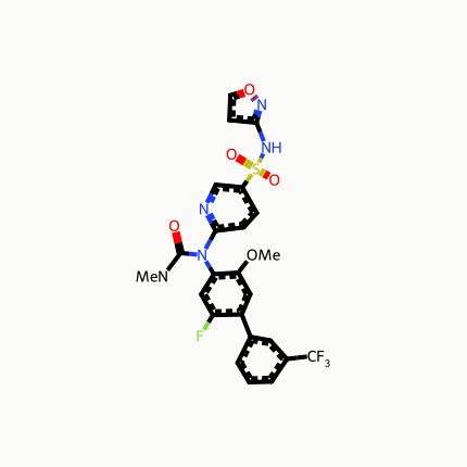 CNC(=O)N(c1ccc(S(=O)(=O)Nc2ccon2)cn1)c1cc(F)c(-c2cccc(C(F)(F)F)c2)cc1OC